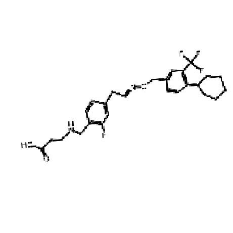 O=C(O)CCNCc1ccc(CC=NOCc2ccc(C3CCCCC3)c(C(F)(F)F)c2)cc1F